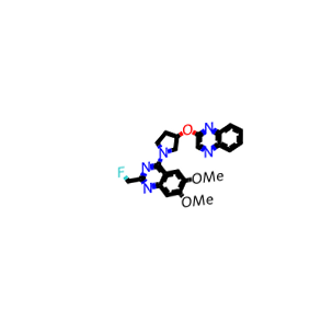 COc1cc2nc(CF)nc(N3CCC(Oc4cnc5ccccc5n4)C3)c2cc1OC